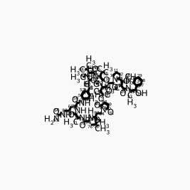 CC[C@H](C)[C@@H]([C@@H](CC(=O)N1CCC[C@H]1[C@H](OC)[C@@H](C)C(=O)N[C@H](C)[C@@H](O)c1ccccc1)OC)N(C)C(=O)[C@@H](NC(=O)[C@H](C(C)C)N(C)C(=O)OCc1ccc(NC(=O)[C@H](CCCNC(N)=O)NC(=O)[C@H](C)NC(=O)[C@@H](CC(C)C)NC(=O)CCN2C(=O)C=CC2=O)cc1)C(C)C